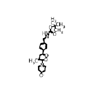 CC(CC(=O)c1ccc(C=NNC(=O)OC(C)(C)C)cc1)C(=O)N1CCC([O])CC1